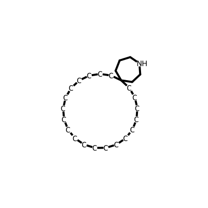 C1CCCCCCCCCCC2(CCCCCCCCC1)CCCNCC2